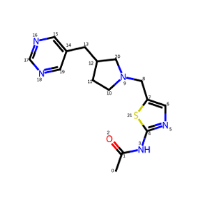 CC(=O)Nc1ncc(CN2CCC(Cc3cncnc3)C2)s1